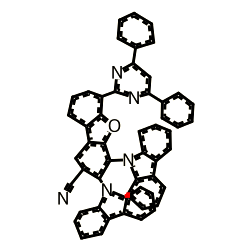 N#Cc1cc2c(oc3c(-c4nc(-c5ccccc5)cc(-c5ccccc5)n4)cccc32)c(-n2c3ccccc3c3ccccc32)c1-n1c2ccccc2c2ccccc21